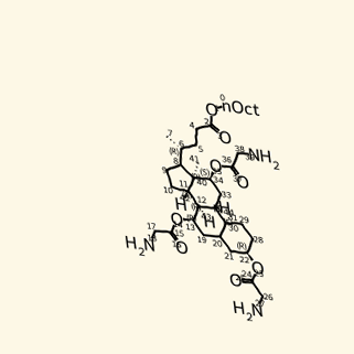 CCCCCCCCOC(=O)CC[C@@H](C)C1CC[C@H]2[C@@H]3[C@H](OC(=O)CN)CC4C[C@H](OC(=O)CN)CC[C@]4(C)[C@H]3C[C@H](OC(=O)CN)[C@]12C